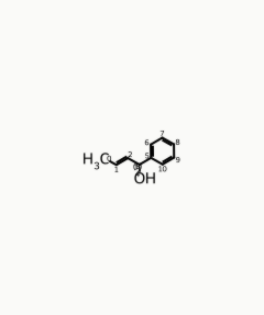 CC=C[C@H](O)c1ccccc1